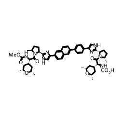 COC(=O)NC(C(=O)N1[C@@H](C)CC[C@H]1c1nc(-c2ccc3cc(-c4ccc(-c5c[nH]c([C@@H]6CC[C@H](C)N6C(=O)C(NC(=O)O)[C@H]6C[C@@H](C)O[C@@H](C)C6)n5)cc4)ccc3c2)c[nH]1)[C@H]1C[C@@H](C)O[C@@H](C)C1